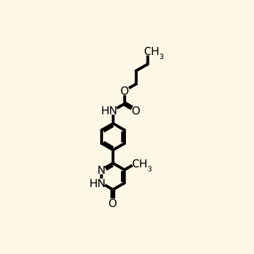 CCCCOC(=O)Nc1ccc(-c2n[nH]c(=O)cc2C)cc1